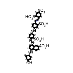 O=[N+]([O-])c1ccc(/C=C/c2ccc(N=Nc3ccc(N=Nc4ccc(N=Nc5ccc(O)cc5)c5ccc(S(=O)(=O)O)cc45)c(S(=O)(=O)O)c3)cc2S(=O)(=O)O)c(S(=O)(=O)O)c1